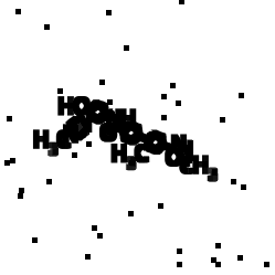 Cc1nnc(-c2ccc(-c3ccc(C(=O)Nc4ccc(O)c(N5CCN(C)CC5)c4)cc3)c(C)c2)o1